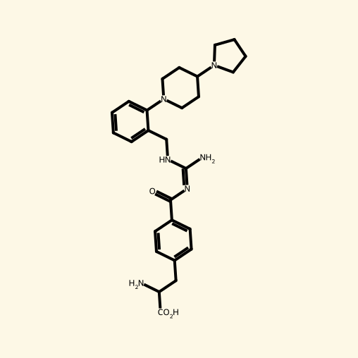 NC(=NC(=O)c1ccc(CC(N)C(=O)O)cc1)NCc1ccccc1N1CCC(N2CCCC2)CC1